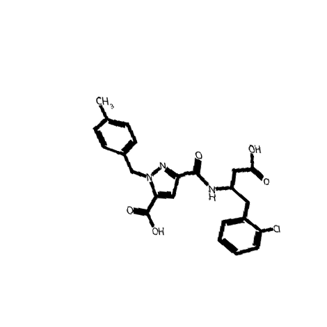 Cc1ccc(Cn2nc(C(=O)NC(CC(=O)O)Cc3ccccc3Cl)cc2C(=O)O)cc1